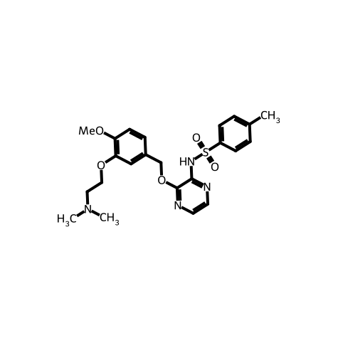 COc1ccc(COc2nccnc2NS(=O)(=O)c2ccc(C)cc2)cc1OCCN(C)C